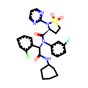 O=C(NC1CCCCC1)[C@@H](c1ccccc1Cl)N(C(=O)[C@@H]1CCS(=O)(=O)N1c1ncccn1)c1cccc(F)c1